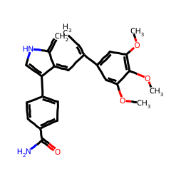 C=c1[nH]cc(-c2ccc(C(N)=O)cc2)/c1=C/C(=C\C)c1cc(OC)c(OC)c(OC)c1